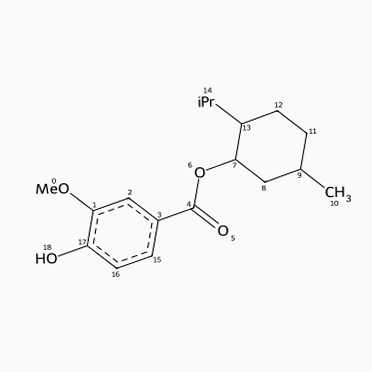 COc1cc(C(=O)OC2CC(C)CCC2C(C)C)ccc1O